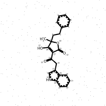 CC1(CCc2ccccc2)OC(=O)C(C(=O)Cc2c[nH]c3ccccc23)=C1O